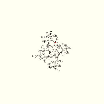 CC(C)(C)[Si](C)(C)c1c(F)c(F)[c]([Ga-]([c]2c(F)c(F)c([Si](C)(C)C(C)(C)C)c(F)c2F)([c]2c(F)c(F)c([Si](C)(C)C(C)(C)C)c(F)c2F)[c]2c(F)c(F)c([Si](C)(C)C(C)(C)C)c(F)c2F)c(F)c1F